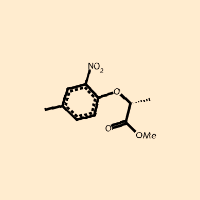 COC(=O)[C@@H](C)Oc1ccc(C)cc1[N+](=O)[O-]